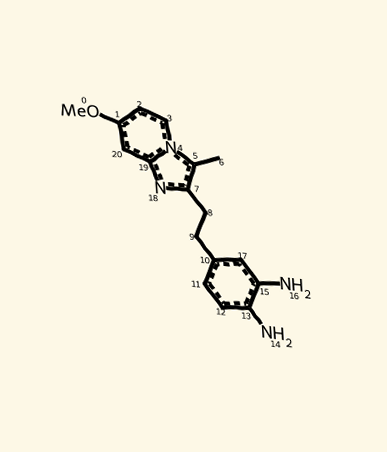 COc1ccn2c(C)c(CCc3ccc(N)c(N)c3)nc2c1